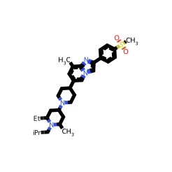 CCC1CC(N2CCC(c3cc(C)c4nc(-c5ccc(S(C)(=O)=O)cc5)cn4c3)CC2)CC(C)N1CC(C)C